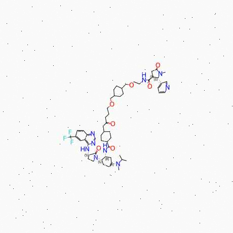 CC(C)N(C)[C@@H]1CC[C@H](N2CC[C@H](Nc3ncnc4ccc(C(F)(F)F)cc34)C2=O)[C@H](NC(=O)C2CCC(CC(=O)CCCOCC3CCC(COCCNC(=O)[C@H]4CC(=O)N(C)[C@@H]4c4cccnc4)CC3)CC2)C1